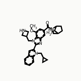 COc1cc(C(=O)N2CC3CCC2[C@@H]3N)cc2nc(-c3cc4ccccc4n3CC3CC3)n(CC3CNC3)c12